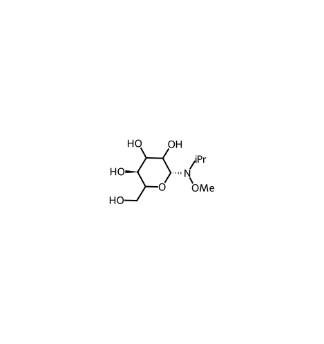 CON(C(C)C)[C@@H]1OC(CO)[C@@H](O)C(O)C1O